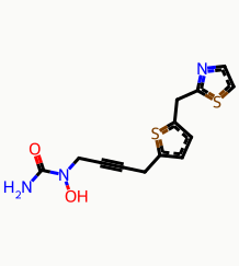 NC(=O)N(O)CC#CCc1ccc(Cc2nccs2)s1